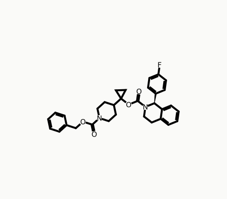 O=C(OCc1ccccc1)N1CCC(C2(OC(=O)N3CCc4ccccc4[C@@H]3c3ccc(F)cc3)CC2)CC1